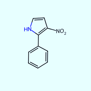 O=[N+]([O-])c1cc[nH]c1-c1ccccc1